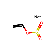 C=CO[S-](=O)=O.[Na+]